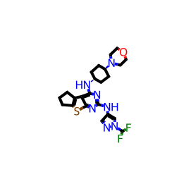 FC(F)n1cc(Nc2nc(N[C@H]3CC[C@H](N4CCOCC4)CC3)c3c4c(sc3n2)CCC4)cn1